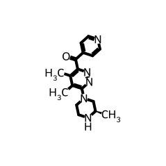 Cc1c(C(=O)c2ccncc2)nnc(N2CCN[C@H](C)C2)c1C